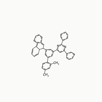 Cc1ccc(-c2cc(-c3cc(-c4ccccc4)nc(-c4ccccc4)n3)cc(C3C=c4ccccc4=C4C=CC=CC43)c2)c(C)c1